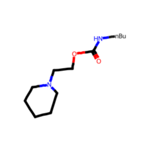 CCCCNC(=O)OCCN1CCCCC1